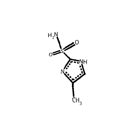 Cc1c[nH]c(S(N)(=O)=O)n1